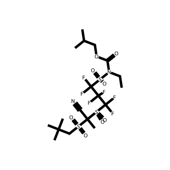 CCN(C(=O)OCC(C)C)S(=O)(=O)C(F)(F)C(F)(F)C(F)(F)S(=O)(=O)C(C)(C#N)S(=O)(=O)CC(C)(C)C